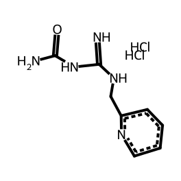 Cl.Cl.N=C(NCc1ccccn1)NC(N)=O